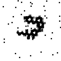 COCCNC(=O)c1ccc(Nc2ncc3cccc(OC4CCNCC4)c3n2)cc1F